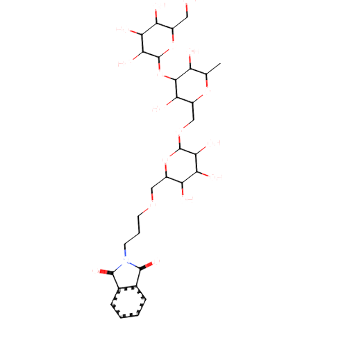 CC1OC(COC2OC(COCCCN3C(=O)c4ccccc4C3=O)C(O)C(O)C2O)C(O)C(OC2OC(CO)C(O)C(O)C2O)C1O